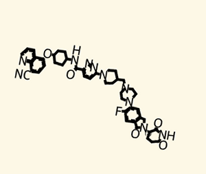 N#Cc1ccc(OC2CCC(NC(=O)c3ccc(N4CCC(CN5CCN(c6cc7c(cc6F)C(=O)N([C@H]6CCC(=O)NC6=O)C7)CC5)CC4)nn3)CC2)c2cccnc12